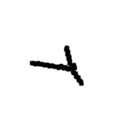 CCCCCCCCCCCCCCCCCC1N(CCCCCCC)C=CN1CCCCCCCC